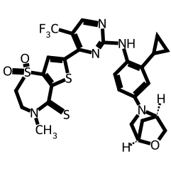 CN1CCS(=O)(=O)c2cc(-c3nc(Nc4ccc(N5C[C@H]6C[C@@H]5CO6)cc4C4CC4)ncc3C(F)(F)F)sc2C1=S